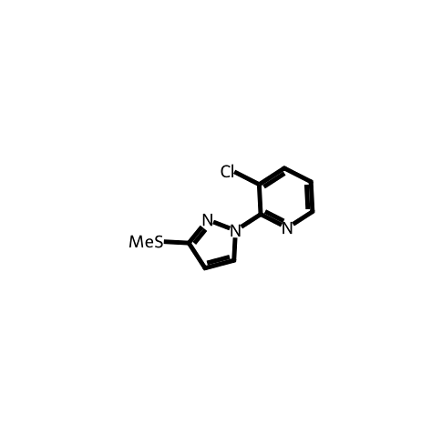 CSc1ccn(-c2ncccc2Cl)n1